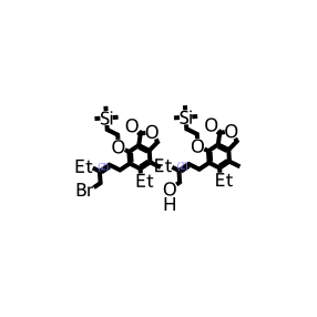 CC/C(=C/Cc1c(CC)c(C)c2c(c1OCC[Si](C)(C)C)C(=O)OC2)CBr.CC/C(=C/Cc1c(CC)c(C)c2c(c1OCC[Si](C)(C)C)C(=O)OC2)CO